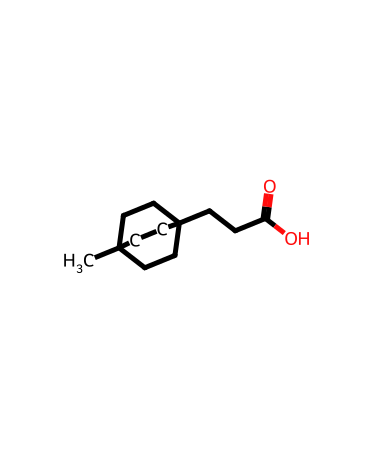 CC12CCC(CCC(=O)O)(CC1)CC2